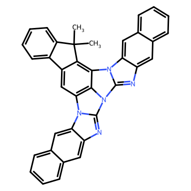 CC1(C)c2ccccc2-c2cc3c4c(c21)n1c2cc5ccccc5cc2nc1n4c1nc2cc4ccccc4cc2n31